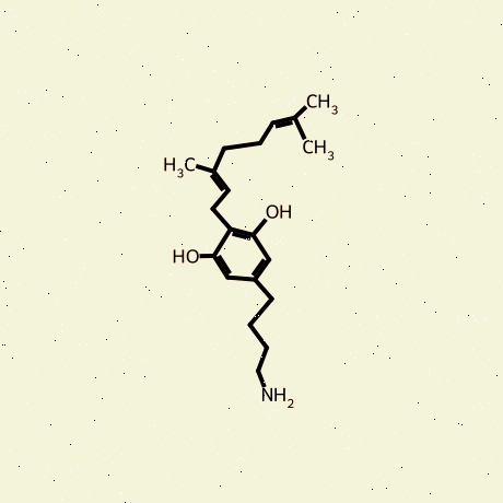 CC(C)=CCC/C(C)=C/Cc1c(O)cc(CCCCN)cc1O